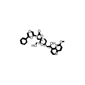 COc1ccc2nccc([C@H](O)C[C@@H]3CC[C@@]4(CN(C5=COC=C(C6=CC=CCC6)O5)C(=O)O4)[C@@H](CO)O3)c2n1